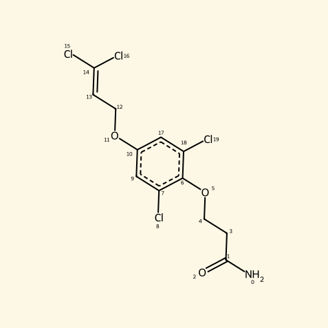 NC(=O)CCOc1c(Cl)cc(OCC=C(Cl)Cl)cc1Cl